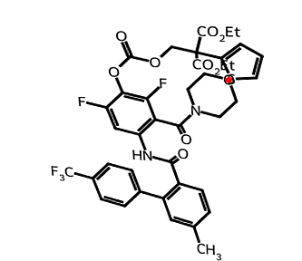 CCOC(=O)C(COC(=O)Oc1c(F)cc(NC(=O)c2ccc(C)cc2-c2ccc(C(F)(F)F)cc2)c(C(=O)N2CCOCC2)c1F)(C(=O)OCC)c1cccs1